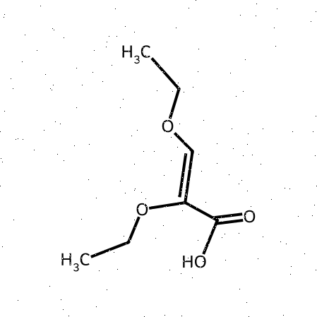 CCOC=C(OCC)C(=O)O